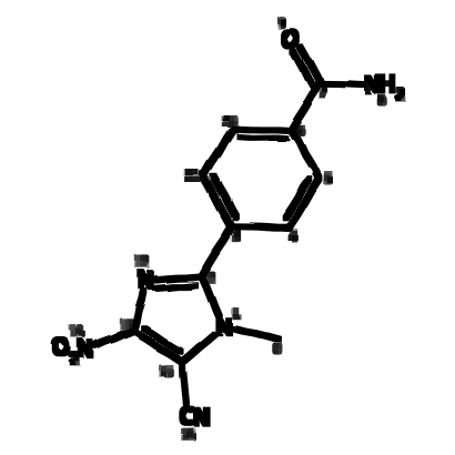 Cn1c(-c2ccc(C(N)=O)cc2)nc([N+](=O)[O-])c1C#N